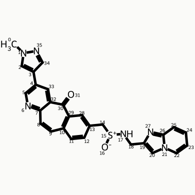 Cn1cc(-c2cnc3ccc4ccc(C[S+]([O-])NCc5cn6ccccc6n5)cc4c(=O)c3c2)cn1